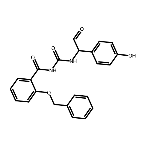 O=[C]C(NC(=O)NC(=O)c1ccccc1OCc1ccccc1)c1ccc(O)cc1